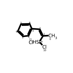 CC(=Cc1ccccc1)[SiH](Cl)Cl